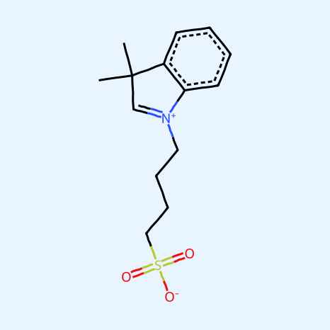 CC1(C)C=[N+](CCCCS(=O)(=O)[O-])c2ccccc21